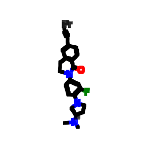 CC(C)C#Cc1ccc2c(c1)CCN(c1ccc(N3CC[C@@H](N(C)C)C3)c(F)c1)C2=O